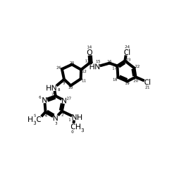 CNc1nc(C)nc(NC2CCC(C(=O)NCc3ccc(Cl)cc3Cl)CC2)n1